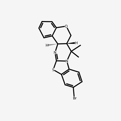 CC1(C)[C@H]2COc3ccccc3[C@@H]2N=C2Sc3cc(Br)ccc3N21